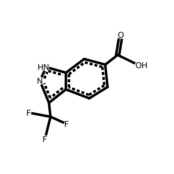 O=C(O)c1ccc2c(C(F)(F)F)n[nH]c2c1